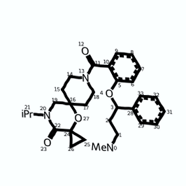 CNCCC(Oc1ccccc1C(=O)N1CCC2(CC1)CN(C(C)C)C(=O)C1(CC1)O2)c1ccccc1